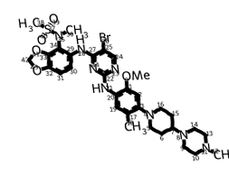 COc1cc(N2CCC(N3CCN(C)CC3)CC2)c(C)cc1Nc1ncc(Br)c(Nc2ccc3c(c2N(C)S(C)(=O)=O)OCO3)n1